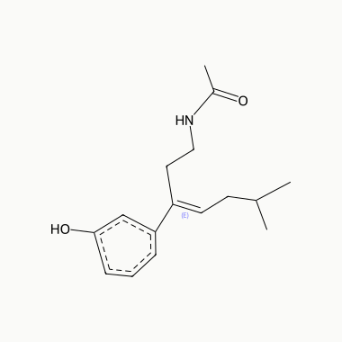 CC(=O)NCC/C(=C\CC(C)C)c1cccc(O)c1